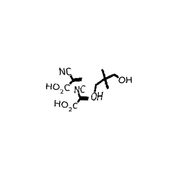 C=C(C#N)C(=O)O.C=C(C#N)C(=O)O.CC(C)(CO)CO